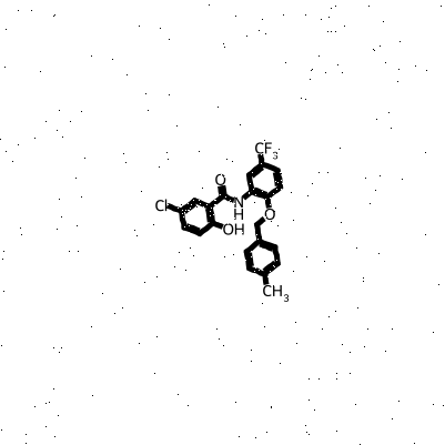 Cc1ccc(COc2ccc(C(F)(F)F)cc2NC(=O)c2cc(Cl)ccc2O)cc1